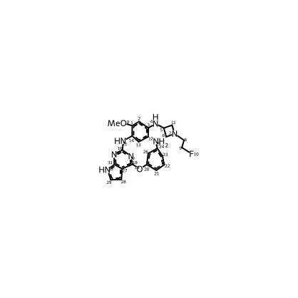 COc1cc(NC2CN(CCF)C2)ccc1Nc1nc(Oc2cccc(N)c2)c2cc[nH]c2n1